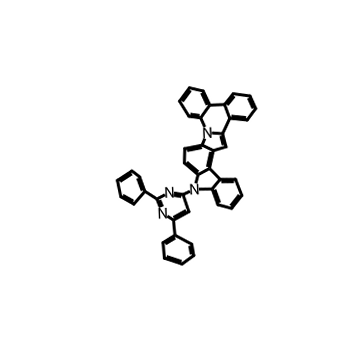 c1ccc(-c2cc(-n3c4ccccc4c4c5cc6c7ccccc7c7ccccc7n6c5ccc43)nc(-c3ccccc3)n2)cc1